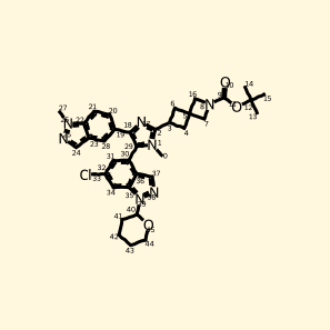 Cn1c(C2CC3(C2)CN(C(=O)OC(C)(C)C)C3)nc(-c2ccc3c(cnn3C)c2)c1-c1cc(Cl)cc2c1cnn2C1CCCCO1